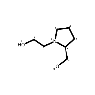 [O]C[C@@H]1CCCN1CCO